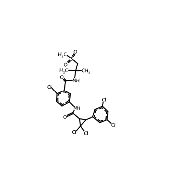 CC(C)(CS(C)(=O)=O)NC(=O)c1cc(NC(=O)C2C(c3cc(Cl)cc(Cl)c3)C2(Cl)Cl)ccc1Cl